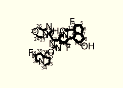 C#Cc1c(F)ccc2cc(O)cc(-c3ncc4c(-c5cnc6n5CCOC6)nc(OC[C@@]56CCCN5C[C@H](F)C6)nc4c3F)c12